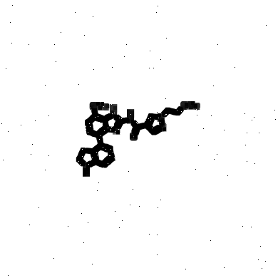 COCCn1cc(C(=O)Nc2nc3c(-c4cccc5c4CCN5)ccc(OC)c3[nH]2)cn1